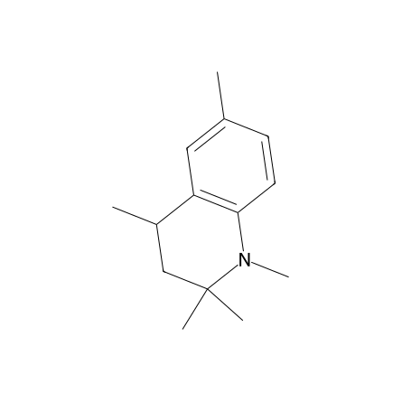 Cc1ccc2c(c1)C(C)CC(C)(C)N2C